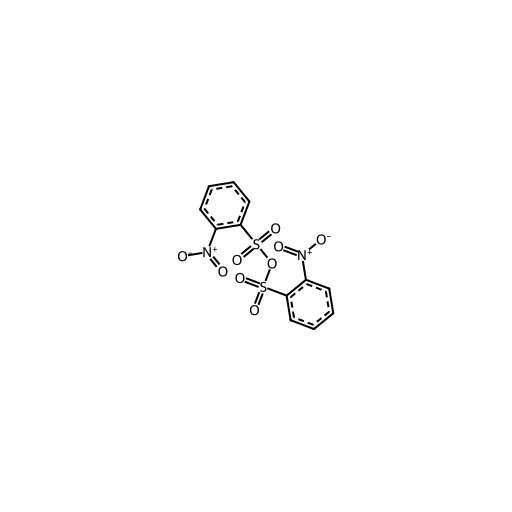 O=[N+]([O-])c1ccccc1S(=O)(=O)OS(=O)(=O)c1ccccc1[N+](=O)[O-]